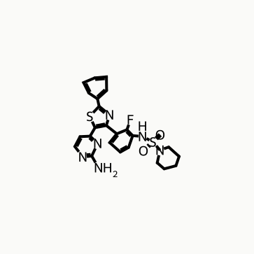 Nc1nccc(-c2sc(-c3ccccc3)nc2-c2cccc(NS(=O)(=O)N3CCCCC3)c2F)n1